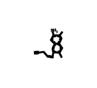 C#CC/C=C\c1cc2cc(N)c(C)cc2cc1C